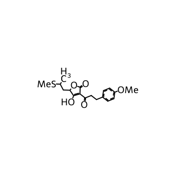 COc1ccc(CCC(=O)C2=C(O)C(CC(C)SC)OC2=O)cc1